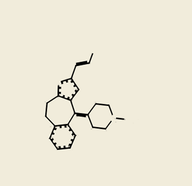 CCOC(=O)C=Cc1cc2c(s1)CCc1ccccc1C2=C1CCN(C(=O)OCC)CC1